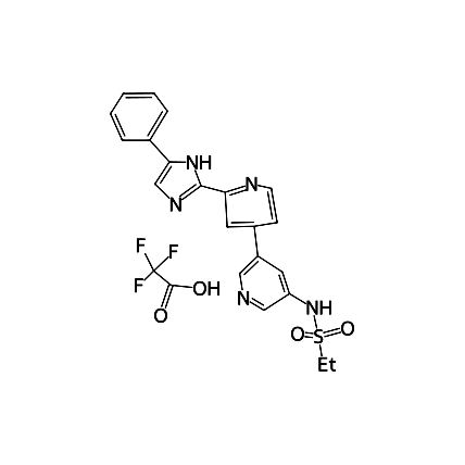 CCS(=O)(=O)Nc1cncc(-c2ccnc(-c3ncc(-c4ccccc4)[nH]3)c2)c1.O=C(O)C(F)(F)F